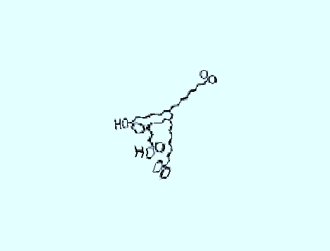 COC(=O)CCCCCCCCC(CCCCCC(O)OC)CC(CCCCCCCC(=O)OC)CCCCCCC(O)OC